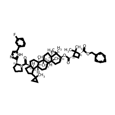 CC1(C2CC[C@]3(C(=O)N4CCC[C@H]4c4ncc(-c5cccc(F)c5)[nH]4)CC[C@]4(C)[C@H](CC[C@@H]5[C@@]6(C)CC[C@H](OC(=O)[C@H]7C[C@@H](C(=O)OCc8ccccc8)C7(C)C)C(C)(C)[C@@H]6CC[C@]54C)[C@@H]23)CC1